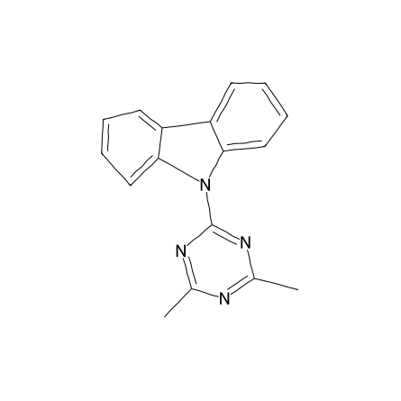 Cc1nc(C)nc(-n2c3ccccc3c3ccccc32)n1